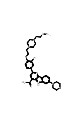 COCCN1CCN(CCOc2ccc(-c3cc(C(N)=O)c4[nH]c5cc(N6CCOCC6)ccc5c4n3)cc2Cl)CC1